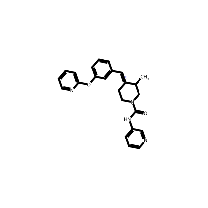 CC1CN(C(=O)Nc2cccnc2)CC/C1=C\c1cccc(Oc2ccccn2)c1